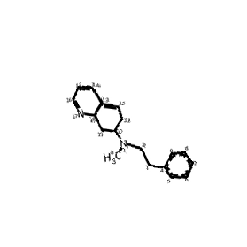 CN(CCc1ccccc1)C1CC=C2C=CC=NC2C1